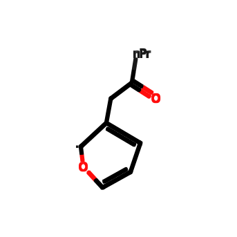 CCCC(=O)CC1=CC=CO[CH]1